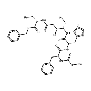 CC(C)C[C@H](NC(=O)C[C@H](O)[C@H](CC(C)C)NC(=O)[C@H](Cc1c[nH]cn1)NC(=O)[C@H](Cc1ccccc1)NC(=O)OC(C)(C)C)C(=O)NCc1ccncc1